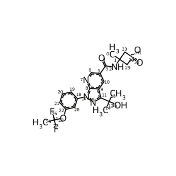 CC1(NC(=O)c2cnc3c(c2)c(C(C)(C)O)nn3-c2cccc(OC(C)(F)F)c2)CS(=O)(=O)C1